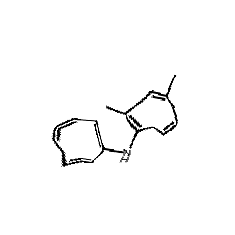 Cc1ccc(Nc2ccccc2)c(C)c1